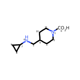 O=C(O)N1CCC(CNC2CC2)CC1